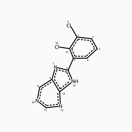 Clc1cccc(-c2nc3cncnc3[nH]2)c1Cl